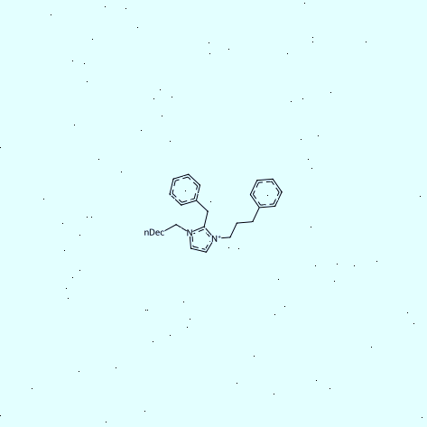 CCCCCCCCCCCn1cc[n+](CCCc2ccccc2)c1Cc1ccccc1